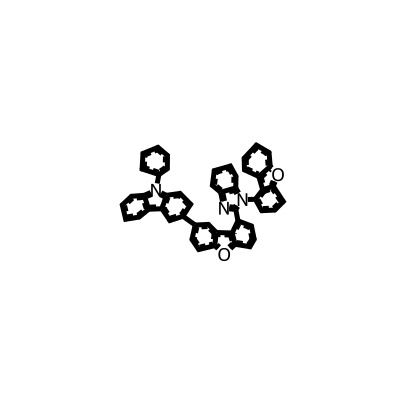 c1ccc(-n2c3ccccc3c3cc(-c4ccc5oc6cccc(-c7nc8ccccc8n7-c7cccc8oc9ccccc9c78)c6c5c4)ccc32)cc1